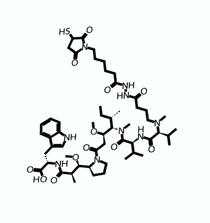 CC[C@H](C)[C@@H]([C@@H](CC(=O)N1CCC[C@H]1[C@H](OC)[C@@H](C)C(=O)N[C@@H](Cc1c[nH]c2ccccc12)C(=O)O)OC)N(C)C(=O)[C@@H](NC(=O)[C@H](C(C)C)N(C)CCCC(=O)NNC(=O)CCCCCN1C(=O)CC(S)C1=O)C(C)C